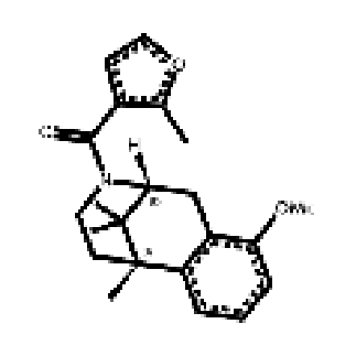 COc1cccc2c1C[C@H]1N(C(=O)c3ccoc3C)CC[C@]2(C)C1(C)C